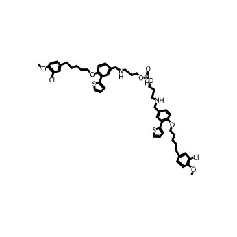 COc1ccc(CCCCCOc2ccc(CNCCCO[PH](=O)OCCCNCc3ccc(OCCCCCc4ccc(OC)c(Cl)c4)c(-c4cccs4)c3)cc2-c2cccs2)cc1Cl